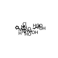 O=P(O)(O)CCCC[C@H]1O[C@@H](n2cnc3c(NC4CCCC4)nc(Cl)nc32)[C@@H](O)C1O